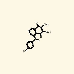 COC1=C(OC)C(=O)c2c(cccc2[S+]([O-])c2ccc(Br)cc2)C1=O